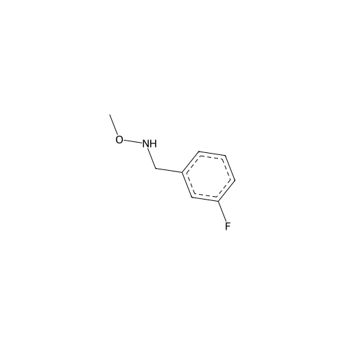 CONCc1cccc(F)c1